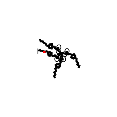 CCCCCCc1ccc(/C=C/C(=O)OCC(COC(=O)/C=C/c2ccc(CCCCCC)cc2)(COC(=O)/C=C/c2ccc(CCCCCC)cc2)COC(=O)/C=C/c2ccc(CCCCCI)cc2)cc1